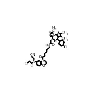 Cc1sc2c(c1C)C(c1ccc(Cl)cc1)=N[C@@H](CC(=O)NCCCCCC(=O)N1CCOc3ccc(N(CCC#N)C(=O)CCl)cc31)c1nnc(C)n1-2